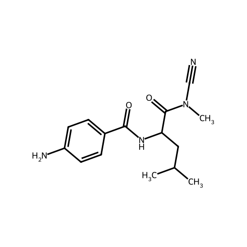 CC(C)CC(NC(=O)c1ccc(N)cc1)C(=O)N(C)C#N